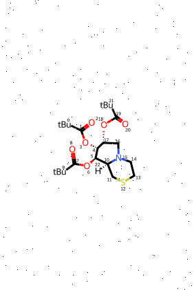 CC(C)(C)C(=O)O[C@H]1[C@H](OC(=O)C(C)(C)C)[C@@H]2CSCCN2C[C@H]1OC(=O)C(C)(C)C